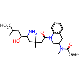 COC(=O)N(C)[C@@H]1Cc2ccccc2N(C(=O)CC(C)(C)C[C@H](N)[C@@H](O)C[C@@H](C)C(=O)O)C1